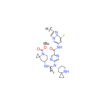 CC(C)(C)OC(=O)N1CCC(N)CC12CC2.Cc1cn2cc(NC(=O)c3cnc(N(C)[C@@H]4CCNC5(CC5)C4)cn3)cc(F)c2n1